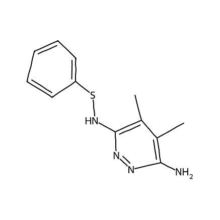 Cc1c(N)nnc(NSc2ccccc2)c1C